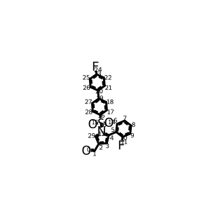 O=Cc1cc(-c2ccccc2F)n(S(=O)(=O)c2ccc(-c3ccc(F)cc3)cc2)c1